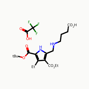 CCOC(=O)c1c(CNCCCC(=O)O)[nH]c(C(=O)OC(C)(C)C)c1CC.O=C(O)C(F)(F)F